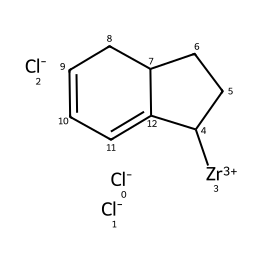 [Cl-].[Cl-].[Cl-].[Zr+3][CH]1CCC2CC=CC=C12